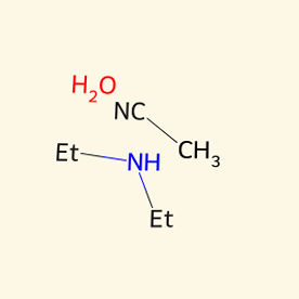 CC#N.CCNCC.O